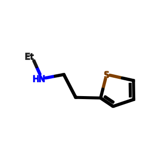 CCNCCc1cccs1